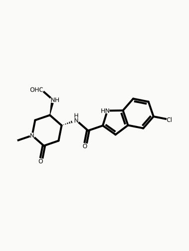 CN1C[C@@H](NC=O)[C@H](NC(=O)c2cc3cc(Cl)ccc3[nH]2)CC1=O